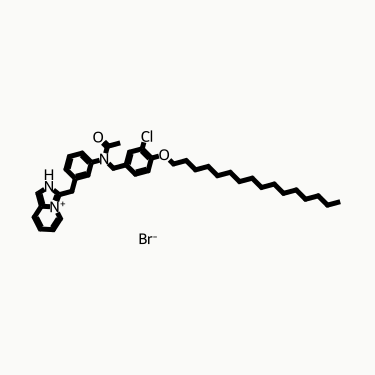 CCCCCCCCCCCCCCCCOc1ccc(CN(C(C)=O)c2cccc(Cc3[nH]cc4cccc[n+]34)c2)cc1Cl.[Br-]